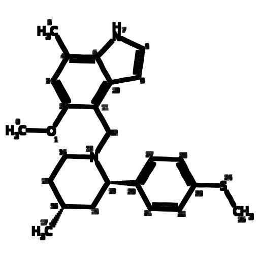 COc1cc(C)c2[nH]ccc2c1CN1CC[C@@H](C)C[C@H]1c1ccc(SC)cc1